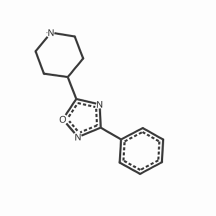 c1ccc(-c2noc(C3CC[N]CC3)n2)cc1